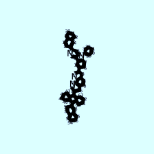 C1=CC2CC(c3ccc4c(c3)c3cnc(-c5ccc6ccccc6c5)cc3n4-c3ccccc3)=CN=C2c2ncc(-c3c4ccccc4c(-c4ccc5ccccc5c4)c4ccccc34)cc21